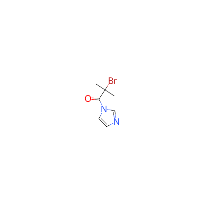 CC(C)(Br)C(=O)n1ccnc1